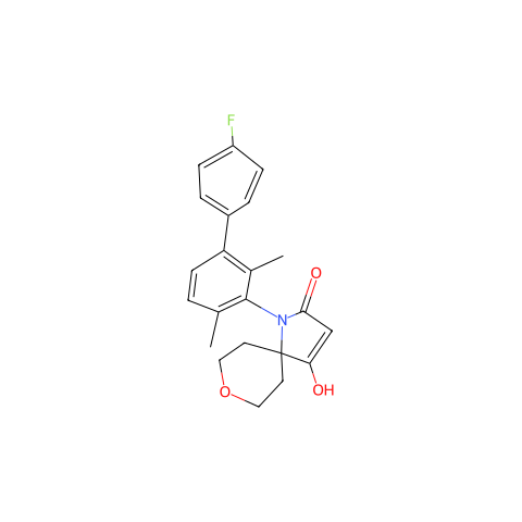 Cc1ccc(-c2ccc(F)cc2)c(C)c1N1C(=O)C=C(O)C12CCOCC2